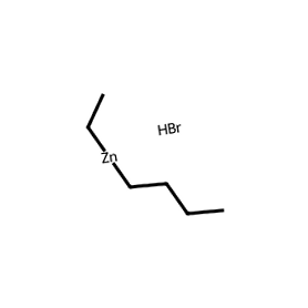 Br.CCC[CH2][Zn][CH2]C